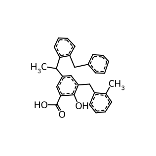 Cc1ccccc1Cc1cc(C(C)c2ccccc2Cc2ccccc2)cc(C(=O)O)c1O